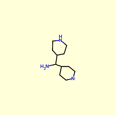 NC(C1CC[N]CC1)C1CCNCC1